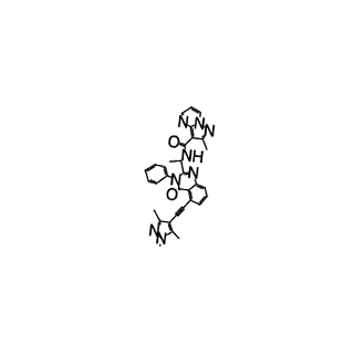 Cc1nn(C)c(C)c1C#Cc1cccc2nc(C(C)NC(=O)c3c(C)nn4cccnc34)n(-c3ccccc3)c(=O)c12